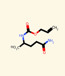 C=CCOC(=O)NC(CCC(N)=O)C(=O)O